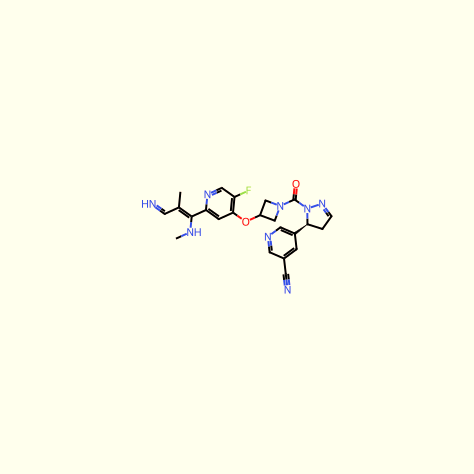 CN/C(=C(/C)C=N)c1cc(OC2CN(C(=O)N3N=CC[C@H]3c3cncc(C#N)c3)C2)c(F)cn1